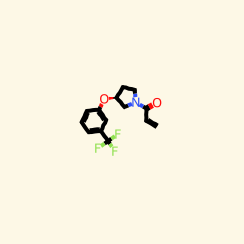 C=CC(=O)N1CC[C@H](Oc2cccc(C(F)(F)F)c2)C1